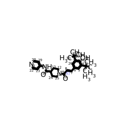 CC(C)(C)c1cc(/C=C/C(=O)N2CCC(C(=O)Nc3ccncc3)CC2)cc(C(C)(C)C)c1O